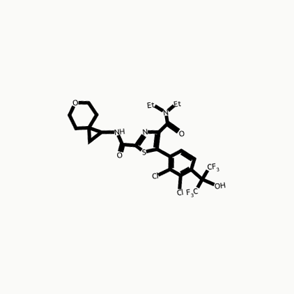 CCN(CC)C(=O)c1nc(C(=O)NC2CC23CCOCC3)sc1-c1ccc(C(O)(C(F)(F)F)C(F)(F)F)c(Cl)c1Cl